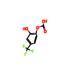 O=C(O)Oc1ccc(C(F)(F)F)cc1O